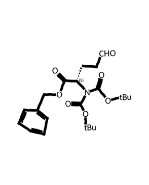 CC(C)(C)OC(=O)N(C(=O)OC(C)(C)C)[C@@H](CCC=O)C(=O)OCc1ccccc1